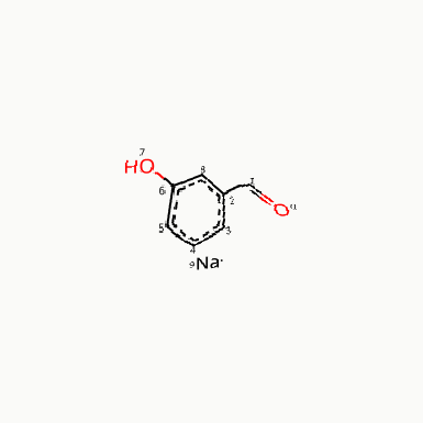 O=Cc1cccc(O)c1.[Na]